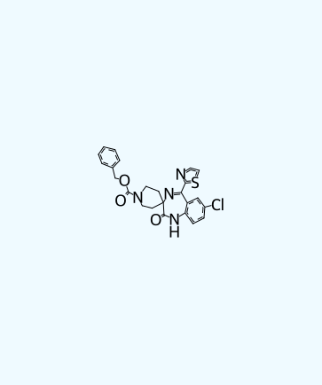 O=C(OCc1ccccc1)N1CCC2(CC1)N=C(c1nccs1)c1cc(Cl)ccc1NC2=O